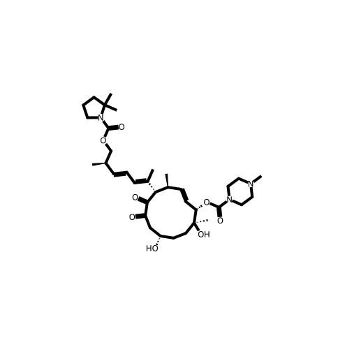 C/C(=C\C=C\[C@@H](C)COC(=O)N1CCCC1(C)C)[C@H]1C(=O)C(=O)C[C@@H](O)CC[C@](C)(O)[C@@H](OC(=O)N2CCN(C)CC2)/C=C/[C@@H]1C